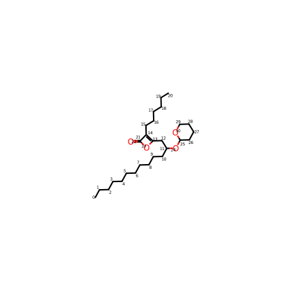 CCCCCCCCCCCC(CC1=C(CCCCCC)C(=O)O1)OC1CCCCO1